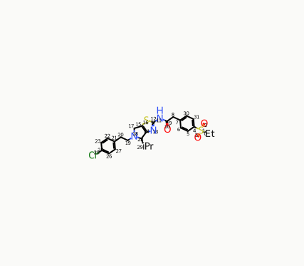 CCS(=O)(=O)c1ccc(CC(=O)Nc2nc3c(s2)CN(CCc2ccc(Cl)cc2)C3C(C)C)cc1